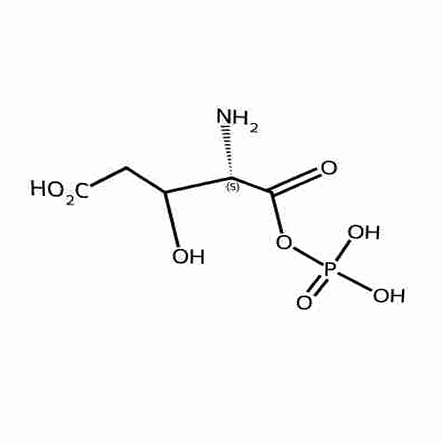 N[C@H](C(=O)OP(=O)(O)O)C(O)CC(=O)O